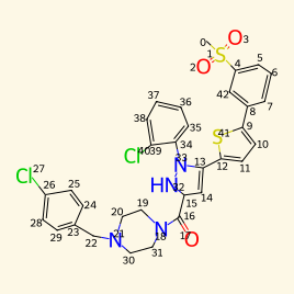 CS(=O)(=O)c1cccc(-c2ccc(C3=CC(C(=O)N4CCN(Cc5ccc(Cl)cc5)CC4)NN3c3ccccc3Cl)s2)c1